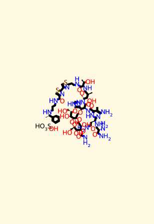 Cc1c(N)nc([C@H](CC(N)=O)NC[C@H](N)C(N)=O)nc1C(=O)N[C@H](C(=O)N[C@H](C)[C@@H](O)[C@H](C)C(=O)N[C@H](C(=O)NCCc1nc(-c2nc(C(=O)NCCCN[C@@H](C)c3ccccc3)cs2)cs1)[C@@H](C)O)[C@@H](O[C@@H]1O[C@@H](CO)[C@@H](O)[C@H](O)[C@@H]1O[C@H]1O[C@H](CO)[C@@H](O)[C@H](OC(N)=O)[C@@H]1O)c1c[nH]cn1.O=S(=O)(O)O